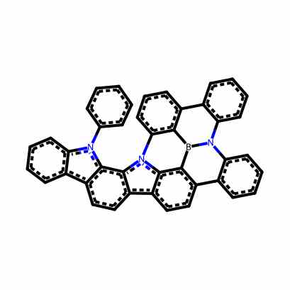 c1ccc(-n2c3ccccc3c3ccc4c5ccc6c7c5n(c4c32)-c2cccc3c2B7N(c2ccccc2-3)c2ccccc2-6)cc1